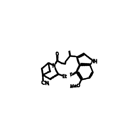 CCC1CC2(C#N)CC(C2)N1C(=O)CC(C)c1c[nH]c2ccc(OC)c(F)c12